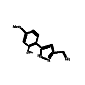 COc1ccc(-c2cc(CO)n[nH]2)c(OC)c1